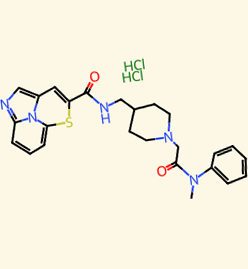 CN(C(=O)CN1CCC(CNC(=O)C2=Cc3cnc4cccc(n34)S2)CC1)c1ccccc1.Cl.Cl